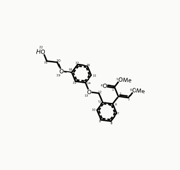 COC=C(C(=O)OC)c1ccccc1COc1cccc(OCCO)c1